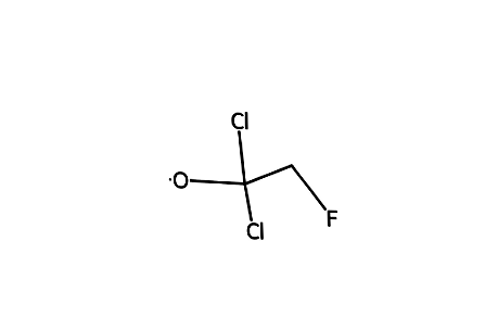 [O]C(Cl)(Cl)CF